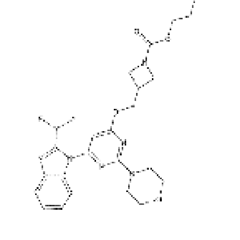 CCCCOC(=O)N1CC(COc2cc(-n3c(C(F)F)nc4ccccc43)nc(N3CCOCC3)n2)C1